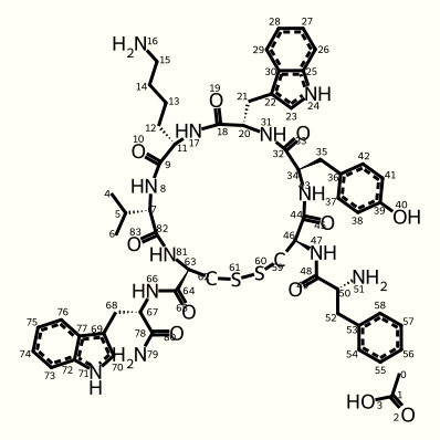 CC(=O)O.CC(C)[C@@H]1NC(=O)[C@H](CCCCN)NC(=O)[C@H](Cc2c[nH]c3ccccc23)NC(=O)[C@@H](Cc2ccc(O)cc2)NC(=O)[C@@H](NC(=O)[C@H](N)Cc2ccccc2)CSSC[C@@H](C(=O)N[C@@H](Cc2c[nH]c3ccccc23)C(N)=O)NC1=O